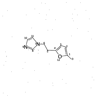 Cc1ccc(CCn2[c]ncc2)o1